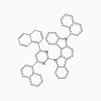 C1=CC2=C(c3cc(-c4cccc5ccccc45)nc(-n4c5ccccc5c5ccc6c(c7ccccc7n6-c6cccc7ccccc67)c54)n3)C=CCC2C=C1